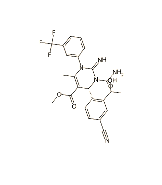 COC(=O)C1=C(C)N(c2cccc(C(F)(F)F)c2)C(=N)N(C(N)=O)[C@@H]1c1ccc(C#N)cc1C(C)O